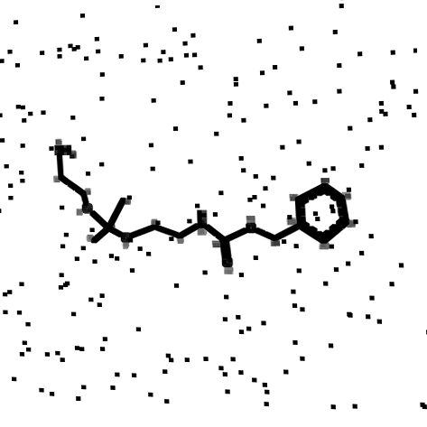 CC(C)(OCCN)OCCNC(=O)OCc1ccccc1